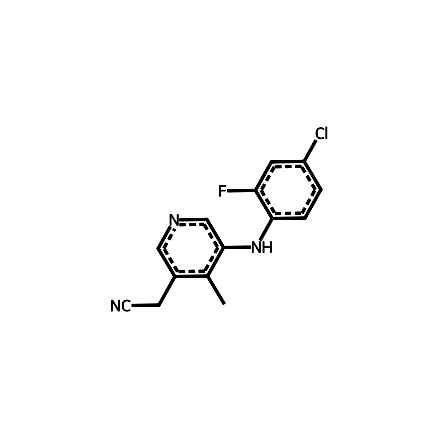 Cc1c(CC#N)cncc1Nc1ccc(Cl)cc1F